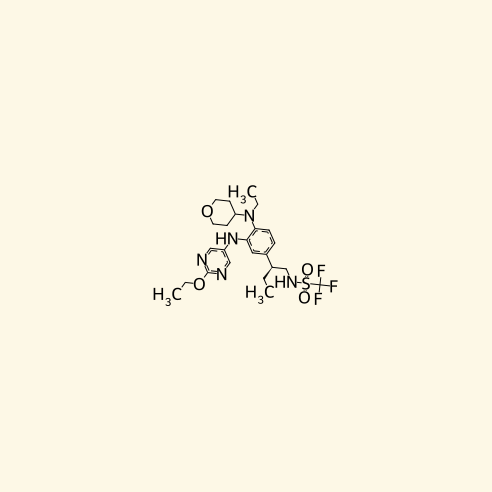 CCOc1ncc(Nc2cc([C@H](CC)CNS(=O)(=O)C(F)(F)F)ccc2N(CC)C2CCOCC2)cn1